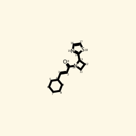 O=C(/C=C/C1CCCCC1)N1CCC1c1nccs1